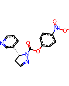 O=C(Oc1ccc([N+](=O)[O-])cc1)N1N=CC[C@@H]1c1cccnc1